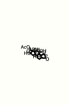 CC(=O)OCC(=O)[C@@]1(O)C(O)C[C@H]2[C@@H]3CCC4=CC(=O)C=C[C@]4(C)[C@@]3(F)C(O)C[C@@]21C